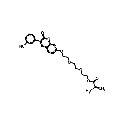 C=C(C)C(=O)OCCOCCOCCOc1ccc2cc(-c3cccc(C#N)c3)c(=O)oc2n1